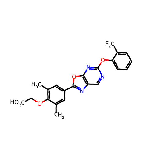 Cc1cc(-c2nc3cnc(Oc4ccccc4C(F)(F)F)nc3o2)cc(C)c1OCC(=O)O